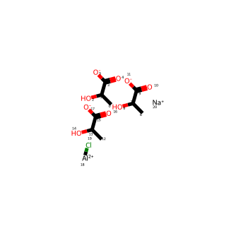 CC(O)C(=O)[O-].CC(O)C(=O)[O-].CC(O)C(=O)[O-].[Al+2][Cl].[Na+]